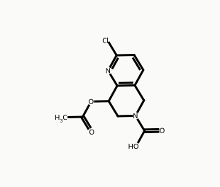 CC(=O)OC1CN(C(=O)O)Cc2ccc(Cl)nc21